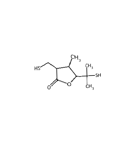 CC1C(CS)C(=O)OC1C(C)(C)S